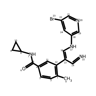 Cc1ccc(C(=O)NC2CC2)cc1/C(C=N)=C/Nc1cncc(Br)c1